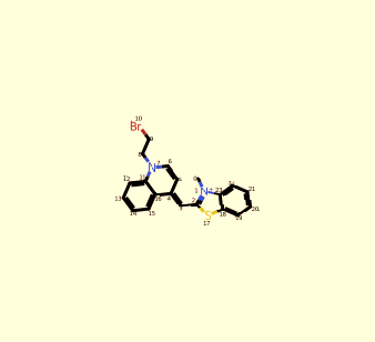 C[n+]1c(C=C2C=CN(CCBr)c3ccccc32)sc2ccccc21